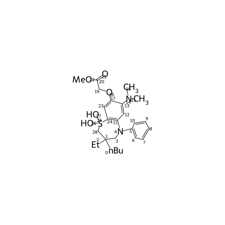 CCCCC1(CC)CN(c2ccccc2)c2cc(N(C)C)c(OCC(=O)OC)cc2S(O)(O)C1